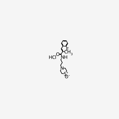 CC(=Cc1ccccc1F)C(=O)NCCCN1CC[S+]([O-])CC1.Cl